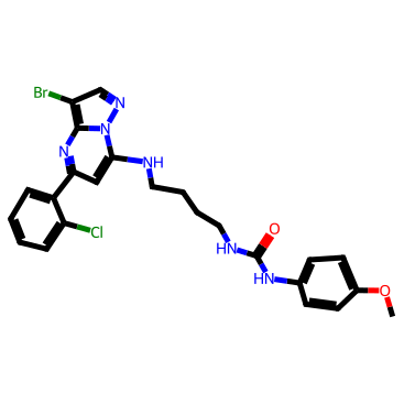 COc1ccc(NC(=O)NCCCCNc2cc(-c3ccccc3Cl)nc3c(Br)cnn23)cc1